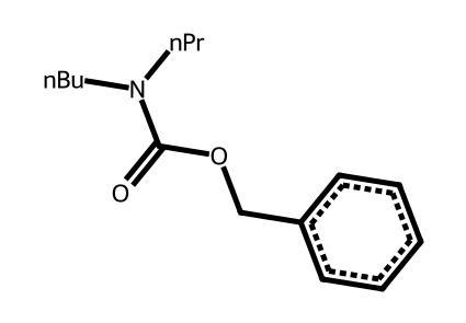 CCCCN(CCC)C(=O)OCc1ccccc1